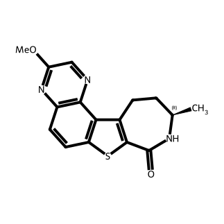 COc1cnc2c(ccc3sc4c(c32)CC[C@@H](C)NC4=O)n1